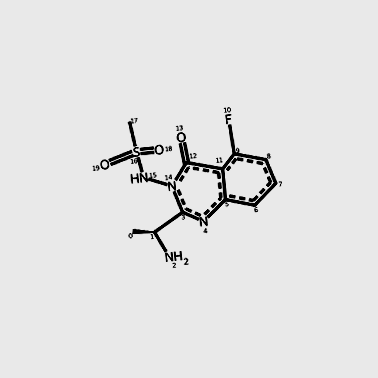 C[C@H](N)c1nc2cccc(F)c2c(=O)n1NS(C)(=O)=O